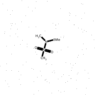 CSN(C)S(C)(=O)=O